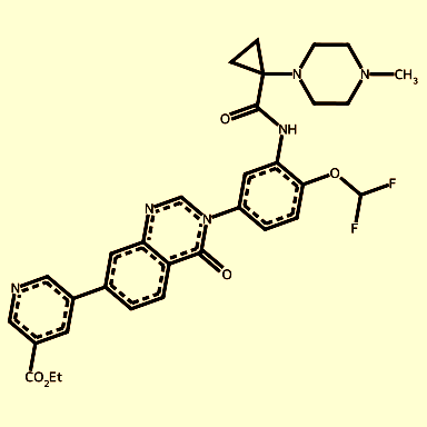 CCOC(=O)c1cncc(-c2ccc3c(=O)n(-c4ccc(OC(F)F)c(NC(=O)C5(N6CCN(C)CC6)CC5)c4)cnc3c2)c1